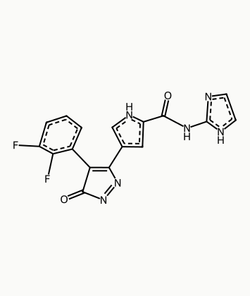 O=C1N=NC(c2c[nH]c(C(=O)Nc3ncc[nH]3)c2)=C1c1cccc(F)c1F